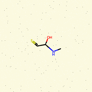 CNC(O)C=S